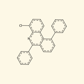 Clc1cccc2c1nc(-c1ccccc1)c1cccc(-c3ccccc3)c12